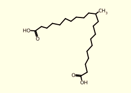 CC(CCCCCCCCCC(=O)O)CCCCCCCCCC(=O)O